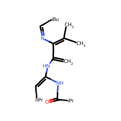 C=C(N/C(=C/CCC)NC(=O)C(C)C)C(/N=C\C(C)CC)=C(C)C